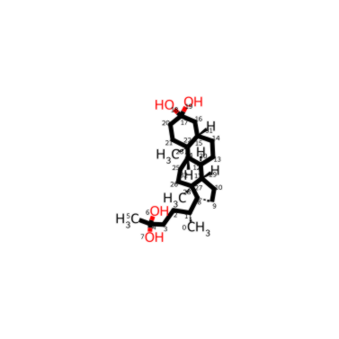 C[C@H](CCC(C)(O)O)[C@H]1CC[C@H]2[C@@H]3CC[C@H]4CC(O)(O)CC[C@]4(C)[C@H]3CC[C@]12C